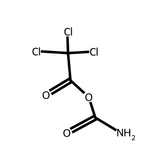 NC(=O)OC(=O)C(Cl)(Cl)Cl